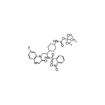 CC(C)(C)OC(=O)NC1CCC(C(Cn2c(=O)cnc3ccc(F)cc32)NS(=O)(=O)c2ccccc2[N+](=O)[O-])CC1